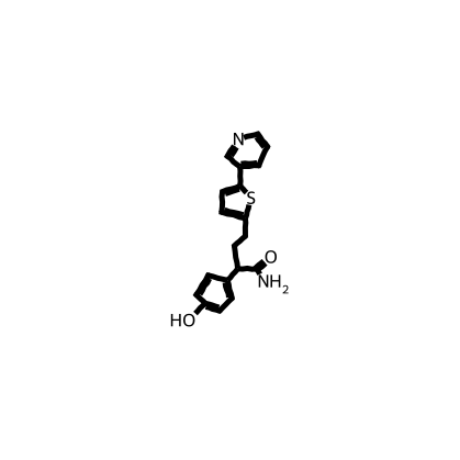 NC(=O)C(CCc1ccc(-c2cccnc2)s1)c1ccc(O)cc1